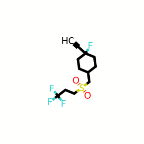 C#CC1(F)CCC(CS(=O)(=O)CCC(F)(F)F)CC1